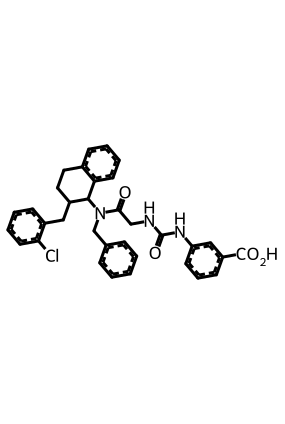 O=C(NCC(=O)N(Cc1ccccc1)C1c2ccccc2CCC1Cc1ccccc1Cl)Nc1cccc(C(=O)O)c1